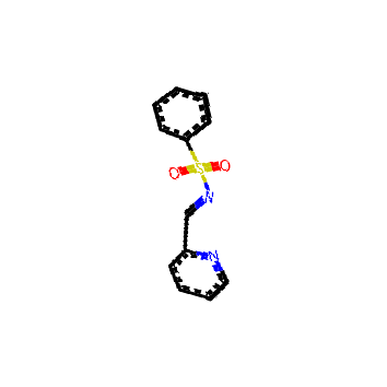 O=S(=O)(N=Cc1ccccn1)c1ccccc1